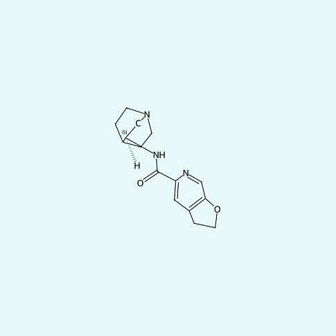 O=C(N[C@@H]1CN2CCC1CC2)c1cc2c(cn1)OCC2